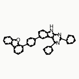 c1ccc(-c2nc(-c3ccccc3)c3c(n2)[nH]c2ccc(-c4ccc(-c5cccc6c5oc5ccccc56)cc4)cc23)cc1